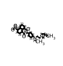 CCN(CC[n+]1ccn(C)c1)c1ccc(N2C(=O)c3cccc4c([N+](=O)[O-])ccc(c34)C2=O)cc1